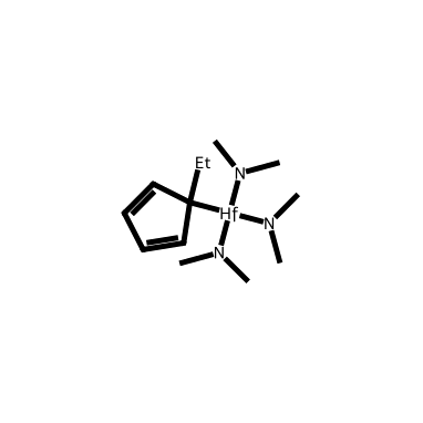 CC[C]1([Hf]([N](C)C)([N](C)C)[N](C)C)C=CC=C1